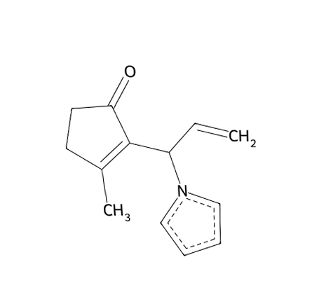 C=CC(C1=C(C)CCC1=O)n1cccc1